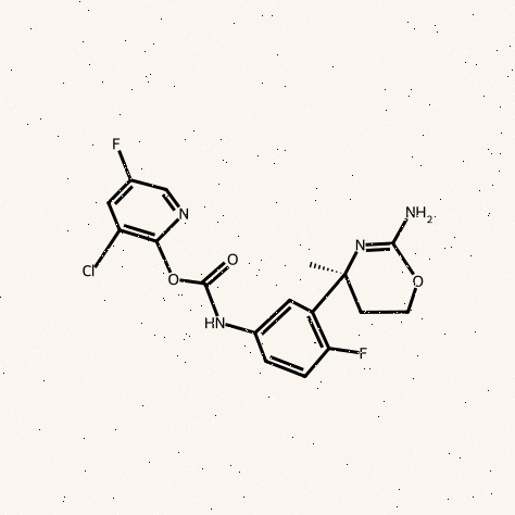 C[C@@]1(c2cc(NC(=O)Oc3ncc(F)cc3Cl)ccc2F)CCOC(N)=N1